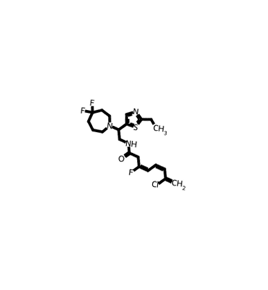 C=C(Cl)/C=C\C=C(\F)CC(=O)NCC(c1cnc(CC)s1)N1CCCC(F)(F)CC1